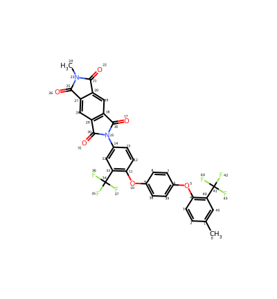 Cc1ccc(Oc2ccc(Oc3ccc(-n4c(=O)c5cc6c(=O)n(C)c(=O)c6cc5c4=O)cc3C(F)(F)F)cc2)c(C(F)(F)F)c1